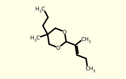 CC/C=C(\C)C1OCC(C)(CCC)CO1